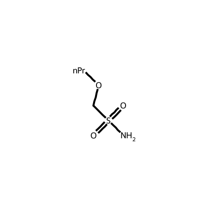 CCCOCS(N)(=O)=O